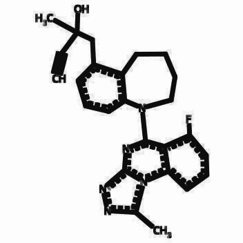 C#CC(C)(O)Cc1cccc2c1CCCCN2c1nc2nnc(C)n2c2cccc(F)c12